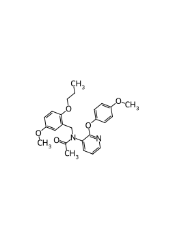 CCCOc1ccc(OC)cc1CN(C(C)=O)c1cccnc1Oc1ccc(OC)cc1